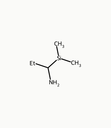 CCC(N)[Si](C)C